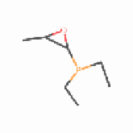 CCP(CC)C1OC1C